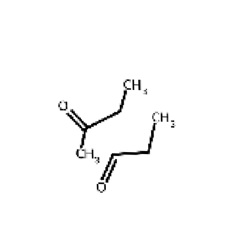 CCC(C)=O.CCC=O